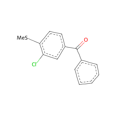 CSc1ccc(C(=O)c2ccccc2)cc1Cl